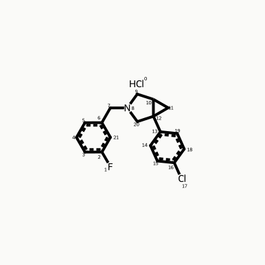 Cl.Fc1cccc(CN2CC3CC3(c3ccc(Cl)cc3)C2)c1